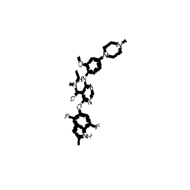 CCN(C)C(=O)c1c(Nc2ccc(N3CCN(C)CC3)cc2OC)ncnc1Oc1cc(F)c2[nH]c(C)cc2c1F